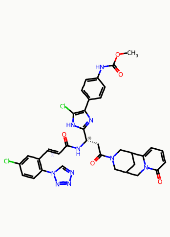 COC(=O)Nc1ccc(-c2nc([C@H](CC(=O)N3CC4CC(C3)c3cccc(=O)n3C4)NC(=O)/C=C/c3cc(Cl)ccc3-n3cnnn3)[nH]c2Cl)cc1